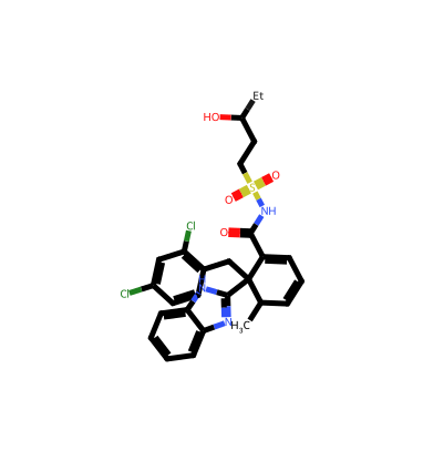 CCC(O)CCS(=O)(=O)NC(=O)C1=CC=CC(C)C1(Cc1ccc(Cl)cc1Cl)c1nc2ccccc2[nH]1